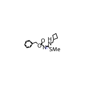 CS/C(=N/C(=O)OCc1ccccc1)NCC1CCC1